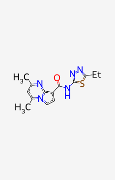 CCc1nnc(NC(=O)c2ccn3c(C)cc(C)nc23)s1